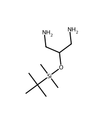 CC(C)(C)[Si](C)(C)OC(CN)CN